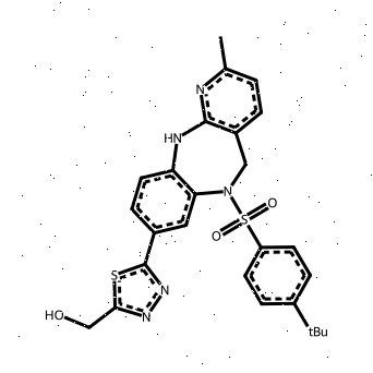 Cc1ccc2c(n1)Nc1ccc(-c3nnc(CO)s3)cc1N(S(=O)(=O)c1ccc(C(C)(C)C)cc1)C2